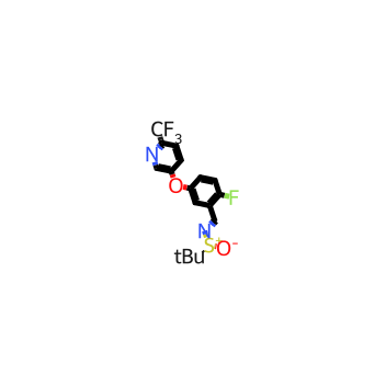 CC(C)(C)[S@@+]([O-])N=Cc1cc(Oc2ccc(C(F)(F)F)nc2)ccc1F